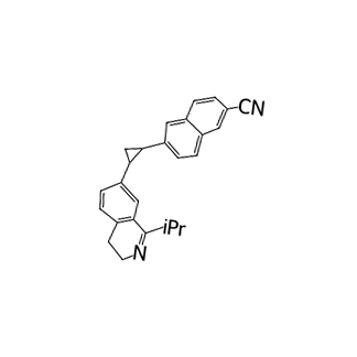 CC(C)C1=NCCc2ccc(C3CC3c3ccc4cc(C#N)ccc4c3)cc21